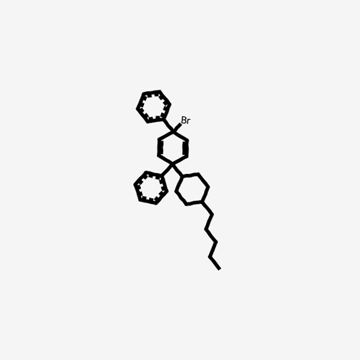 CCCCCC1CCC(C2(c3ccccc3)C=CC(Br)(c3ccccc3)C=C2)CC1